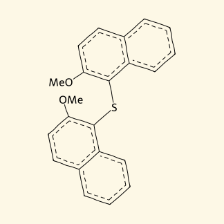 COc1ccc2ccccc2c1Sc1c(OC)ccc2ccccc12